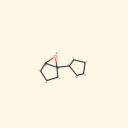 C1CCC(C23CCCC2O3)C1